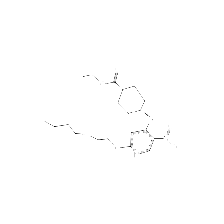 CCCCOCCOc1cc(N[C@H]2CC[C@@H](C(=O)OCC)CC2)c([N+](=O)[O-])cn1